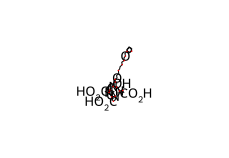 O=C(O)CN1CCN(CC(=O)O)CCN(CC(O)COCCCCCCCCCOCc2ccccc2)CCN(CC(=O)O)CC1